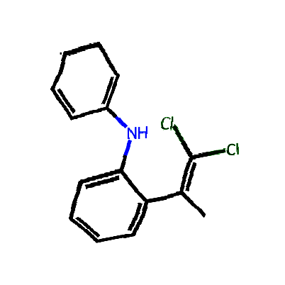 CC(=C(Cl)Cl)c1ccccc1NC1=CC[CH]C=C1